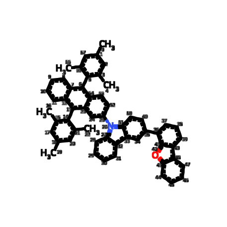 Cc1cc(C)c(-c2c3ccccc3c(-c3c(C)cc(C)cc3C)c3cc(-n4c5ccccc5c5cc(-c6cccc7c6oc6ccccc67)ccc54)ccc23)c(C)c1